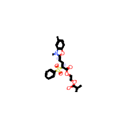 C=C(C)C(=O)OCCOC(=O)/C(=C/C=C1\Oc2ccc(C)cc2N1C)S(=O)(=O)c1ccccc1